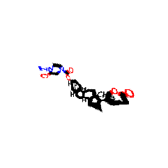 C[C@]12CC[C@H](OC(=O)N3CCNC(=O)C3)C[C@H]1CC[C@H]1C3=CC[C@H](c4ccc(=O)oc4)[C@@]3(C)CC[C@@H]12